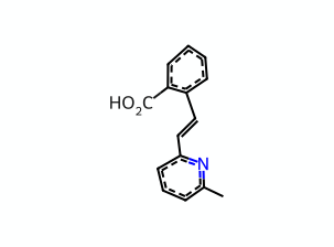 Cc1cccc(C=Cc2ccccc2C(=O)O)n1